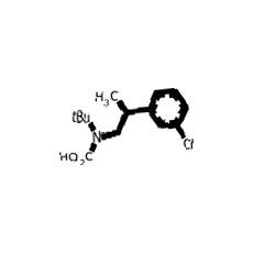 CC(CN(C(=O)O)C(C)(C)C)c1cccc(Cl)c1